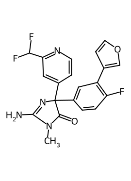 CN1C(=O)C(c2ccnc(C(F)F)c2)(c2ccc(F)c(-c3ccoc3)c2)N=C1N